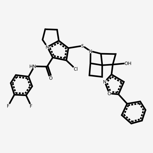 O=C(Nc1ccc(F)c(F)c1)c1c(Cl)c(SN2C3CCC34C2CC4(O)c2cc(-c3ccccc3)on2)c2n1CCC2